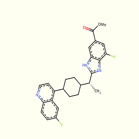 COC(=O)c1cc(F)c2nc([C@H](C)C3CCC(c4ccnc5ccc(F)cc45)CC3)[nH]c2c1